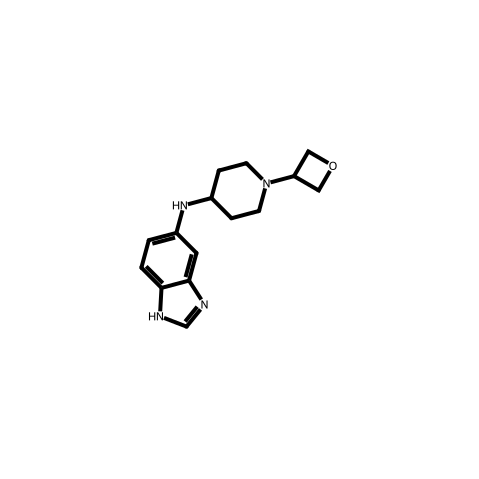 c1nc2cc(NC3CCN(C4COC4)CC3)ccc2[nH]1